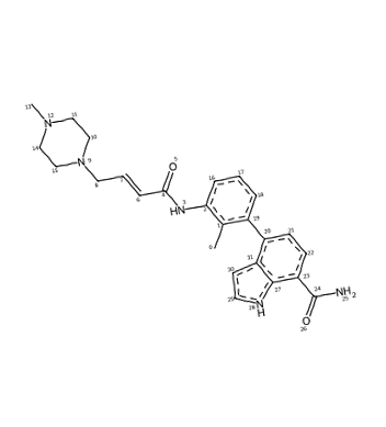 Cc1c(NC(=O)/C=C/CN2CCN(C)CC2)cccc1-c1ccc(C(N)=O)c2[nH]ccc12